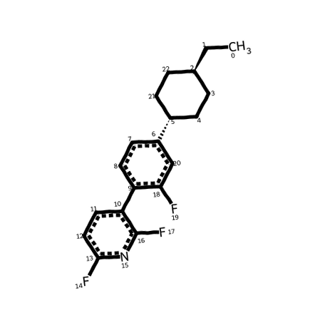 CC[C@H]1CC[C@H](c2ccc(-c3ccc(F)nc3F)c(F)c2)CC1